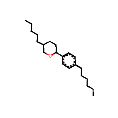 CCCCCCc1ccc(C2CCC(CCCCC)CO2)cc1